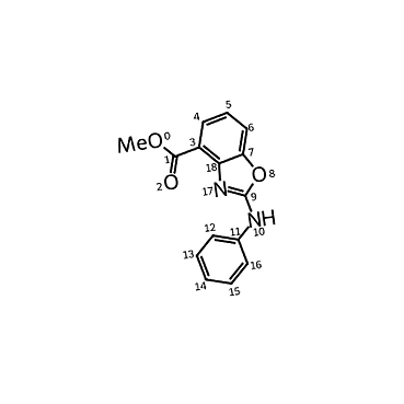 COC(=O)c1cccc2oc(Nc3ccccc3)nc12